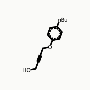 CCCCc1ccc(OCC#CCO)cc1